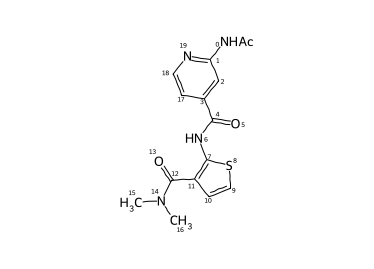 CC(=O)Nc1cc(C(=O)Nc2sccc2C(=O)N(C)C)ccn1